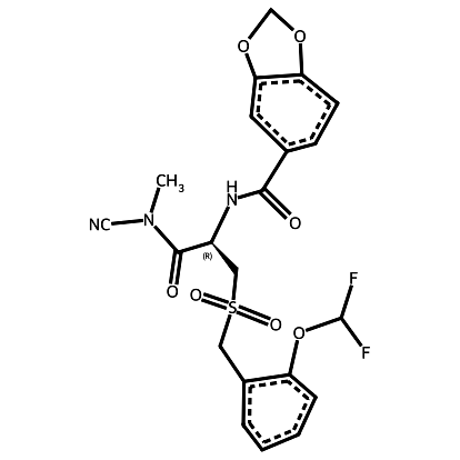 CN(C#N)C(=O)[C@H](CS(=O)(=O)Cc1ccccc1OC(F)F)NC(=O)c1ccc2c(c1)OCO2